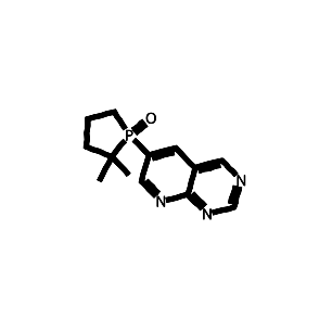 CC1(C)CCCP1(=O)c1cnc2ncncc2c1